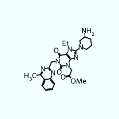 CCn1c(N2CCC[C@@H](N)C2)nc2c1c(=O)n(Cc1nc(C)c3ccccc3n1)c(=O)n2CC(=O)OC